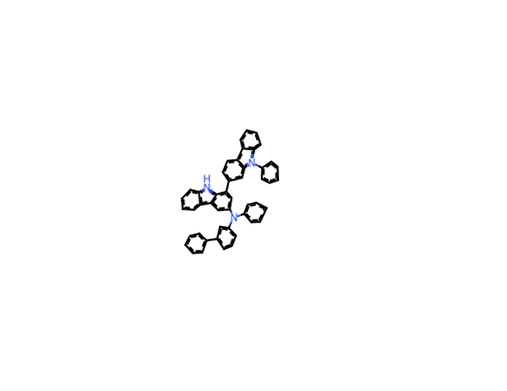 c1ccc(-c2cccc(N(c3ccccc3)c3cc(-c4ccc5c6ccccc6n(-c6ccccc6)c5c4)c4[nH]c5ccccc5c4c3)c2)cc1